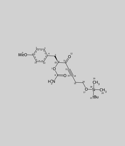 COc1ccc(C[C@H](OC(N)=O)C(=O)C#CCCO[Si](C)(C)C(C)(C)C)cc1